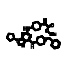 CC(C)(C)OC(=O)NC1CCC(Nc2nc(NC3CCN(Cc4ccccc4)CC3)c3ncn(C4CCCC4)c3n2)CC1